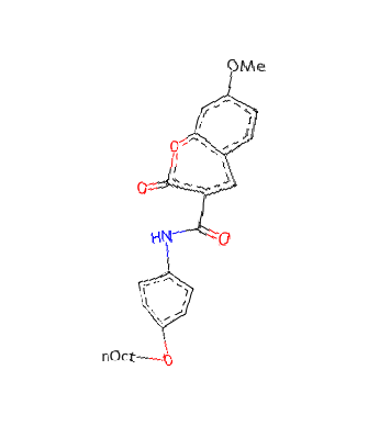 CCCCCCCCOc1ccc(NC(=O)c2cc3ccc(OC)cc3oc2=O)cc1